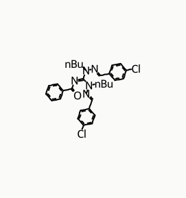 CCCCN(/N=C/c1ccc(Cl)cc1)C(=NC(=O)c1ccccc1)N(CCCC)/N=C/c1ccc(Cl)cc1